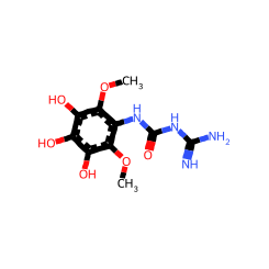 COc1c(O)c(O)c(O)c(OC)c1NC(=O)NC(=N)N